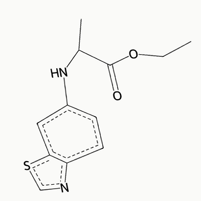 CCOC(=O)C(C)Nc1ccc2ncsc2c1